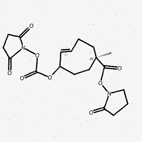 C[C@@]1(C(=O)ON2CCCC2=O)CC/C=C/C(OC(=O)ON2C(=O)CCC2=O)CC1